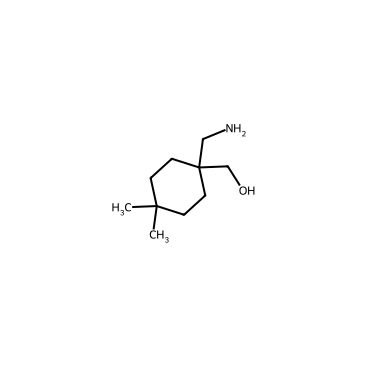 CC1(C)CCC(CN)(CO)CC1